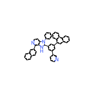 c1ccc(N2c3ccnc(-c4ccc5ccccc5c4)c3NC2c2cc(-c3cccnc3)cc(-c3cc4ccccc4c4ccccc34)c2)cc1